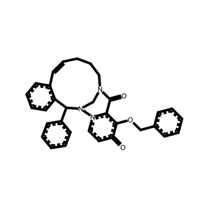 O=C1c2c(OCc3ccccc3)c(=O)ccn2N2CN1CCC/C=C\c1ccccc1C2c1ccccc1